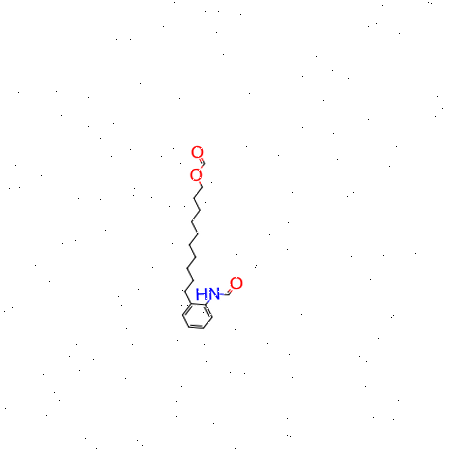 O=CNc1ccccc1CCCCCCCCCCOC=O